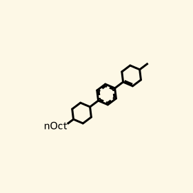 CCCCCCCCC1CCC(c2ccc(C3=CCC(C)CC3)cc2)CC1